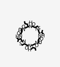 CCC(C)[C@@H]1NC(=O)C2CSC(=N2)C(C(C)C)NC(=O)[C@H]2N=C(O[C@@H]2C)C([C@@H](C)CC)NC(=O)C2CSC(=N2)[C@@H](C(C)C)NC(=O)[C@H]2N=C1O[C@@H]2C